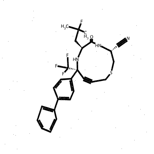 CC(C)(F)C[C@@H]1N[C@@](c2ccc(-c3ccccc3)cc2)(C(F)(F)F)C#CCSC[C@@H](C#N)NC1=O